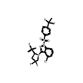 CC(F)(F)c1ccc(S(=O)(=O)n2nc(N3CC(F)(F)CC3C(C)(C)F)c3c(Cl)cccc32)cc1